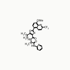 COc1ccc(-c2nc(C(=O)N[C@H](C)C(=O)Nc3ccccn3)c([C@H](C)N)o2)c2ccc(C(F)(F)F)nc12